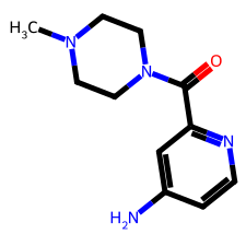 CN1CCN(C(=O)c2cc(N)ccn2)CC1